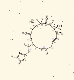 C/C1=C/CC(/C(C)=C/c2csc(C)n2)OC(=O)C[C@H](O)C(C)(C)C(=O)C(C)[C@@H](O)[C@@H](C)/C=C/C1